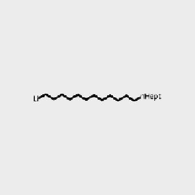 [Li][CH2]CCCCCCCCCCCCCCCCCC